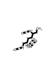 CCC(CCCCN=C=O)N=C=O.N=C=O.N=C=O